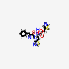 N[C@@H](Cc1ccccc1)[C@@H](O)C[C@@H](Cc1cncs1)NC(=O)OCc1cncs1